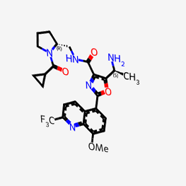 COc1ccc(-c2nc(C(=O)NC[C@H]3CCCN3C(=O)C3CC3)c([C@H](C)N)o2)c2ccc(C(F)(F)F)nc12